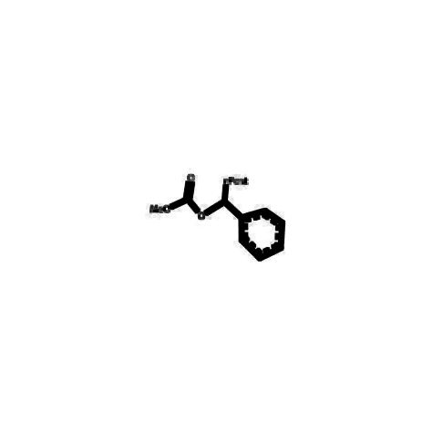 CCCCCC(OC(=O)OC)c1ccccc1